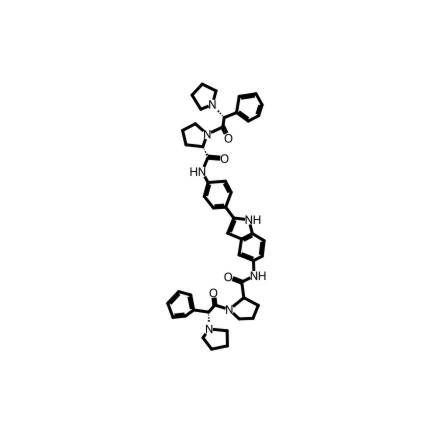 O=C(Nc1ccc2[nH]c(-c3ccc(NC(=O)[C@@H]4CCCN4C(=O)[C@@H](c4ccccc4)N4CCCC4)cc3)cc2c1)C1CCCN1C(=O)[C@@H](c1ccccc1)N1CCCC1